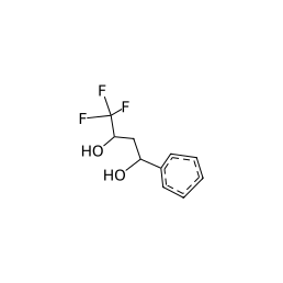 OC(CC(O)C(F)(F)F)c1ccccc1